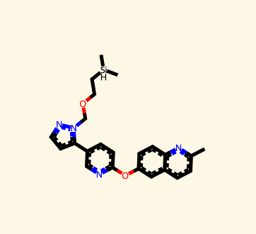 Cc1ccc2cc(Oc3ccc(-c4ccnn4COCC[SiH](C)C)cn3)ccc2n1